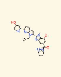 COc1cc(C(=O)N2CC3CCC2[C@@H]3N)cc2nc(-c3cc4ccc(-c5cc(O)ccn5)nc4n3CC3CC3)n(C)c12